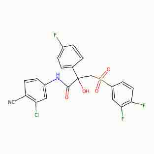 N#Cc1ccc(NC(=O)C(O)(CS(=O)(=O)c2ccc(F)c(F)c2)c2ccc(F)cc2)cc1Cl